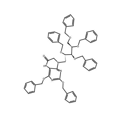 O=C1CN(C[C@H](OCc2ccccc2)[C@H](OCc2ccccc2)[C@@H](COCc2ccccc2)OCc2ccccc2)c2nc(OCc3ccccc3)nc(OCc3ccccc3)c2N1